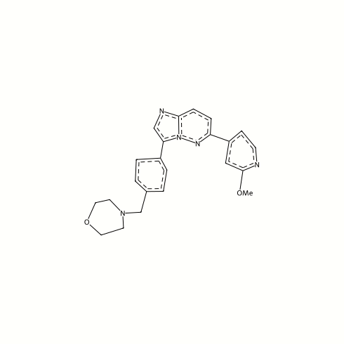 COc1cc(-c2ccc3ncc(-c4ccc(CN5CCOCC5)cc4)n3n2)ccn1